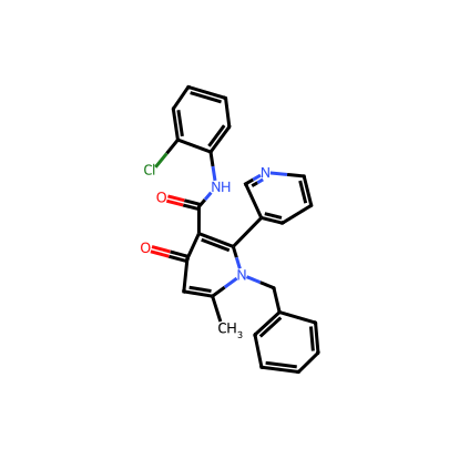 Cc1cc(=O)c(C(=O)Nc2ccccc2Cl)c(-c2cccnc2)n1Cc1ccccc1